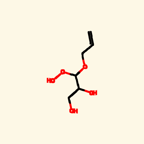 C=CCOC(OO)C(O)CO